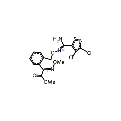 CO/N=C(/C(=O)OC)c1ccccc1CO/N=C(\N)c1snc(Cl)c1Cl